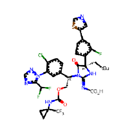 CC(C)(C)C[C@]1(c2ccc(-c3cncs3)cc2F)N/C(=N\C(=O)O)N([C@H](COC(=O)NC2(C(F)(F)F)CC2)c2ccc(Cl)c(-n3ncnc3C(F)F)c2)C1=O